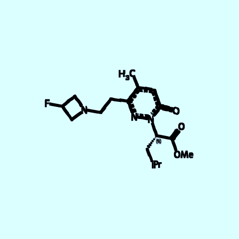 COC(=O)[C@H](CC(C)C)n1nc(CCN2CC(F)C2)c(C)cc1=O